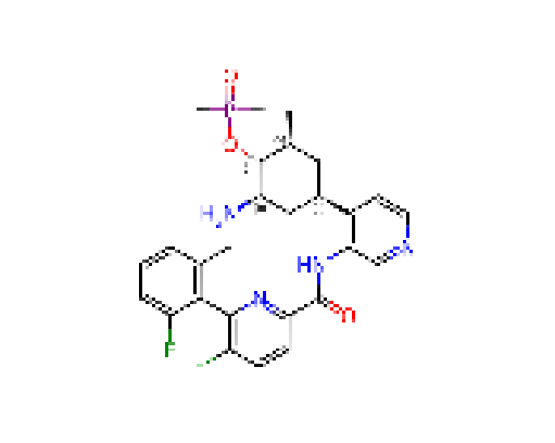 Cc1cccc(F)c1-c1nc(C(=O)Nc2cnccc2[C@H]2C[C@@H](N)[C@H](OP(C)(C)=O)[C@@H](C)C2)ccc1F